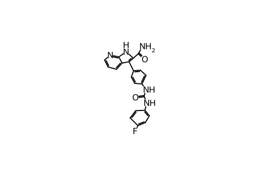 NC(=O)c1[nH]c2ncccc2c1-c1ccc(NC(=O)Nc2ccc(F)cc2)cc1